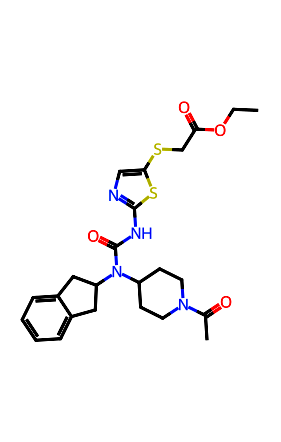 CCOC(=O)CSc1cnc(NC(=O)N(C2CCN(C(C)=O)CC2)C2Cc3ccccc3C2)s1